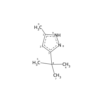 Cc1[c]c(C(C)(C)C)n[nH]1